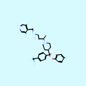 CC(CCNC(=O)c1c(Cl)cncc1Cl)N1CCC(C2(c3ccc(C(F)(F)F)cc3)Oc3ccc(F)cc3O2)CC1